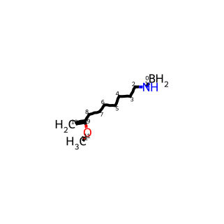 BNCCCCCCCC(=C)OC